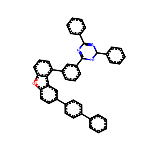 c1ccc(C2=NC(c3ccccc3)NC(c3cccc(-c4cccc5oc6ccc(-c7ccc(-c8ccccc8)cc7)cc6c45)c3)=N2)cc1